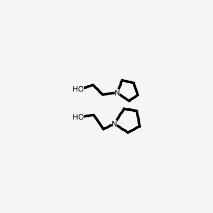 OCCN1CCCC1.OCCN1CCCC1